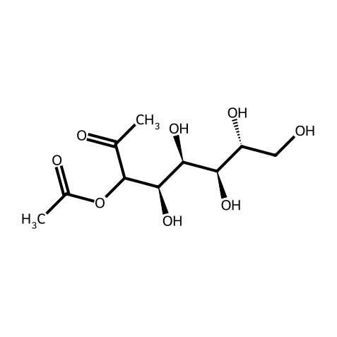 CC(=O)OC(C(C)=O)[C@H](O)[C@@H](O)[C@H](O)[C@H](O)CO